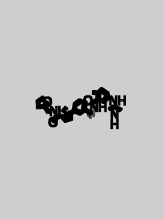 Cc1ccc(NC2CNC2)cc1C(=O)N[C@H](C)c1cccc(-c2ccc(C(=O)NCC3CCCO3)s2)c1